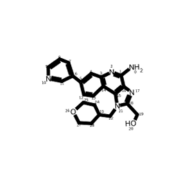 Nc1nc2cc(-c3cccnc3)ccc2c2c1nc(CO)n2CC1CCOCC1